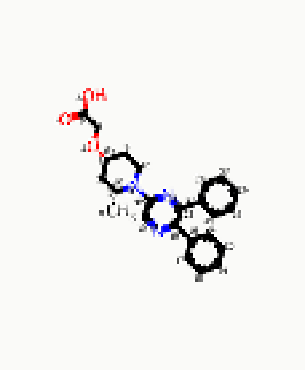 C[C@@H]1C[C@@H](OCC(=O)O)CCN1c1cnc(-c2ccccc2)c(-c2ccccc2)n1